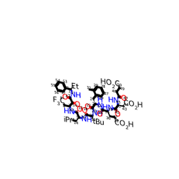 CC[C@H](NC(=O)C(=O)C(CC(F)(F)F)NC(=O)[C@H](CC(C)C)NC(=O)[C@@H](NC(=O)[C@H](Cc1ccccc1C)NC(=O)[C@H](CCC(=O)O)NC(=O)[C@H](CC(=O)O)NC(=O)CCC(=O)O)C(C)(C)C)c1ccccc1